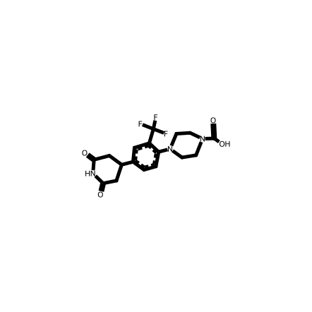 O=C1CC(c2ccc(N3CCN(C(=O)O)CC3)c(C(F)(F)F)c2)CC(=O)N1